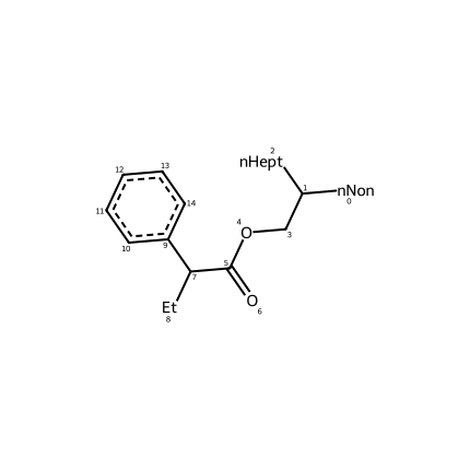 CCCCCCCCCC(CCCCCCC)COC(=O)C(CC)c1ccccc1